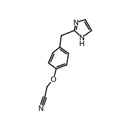 N#CCOc1ccc(Cc2ncc[nH]2)cc1